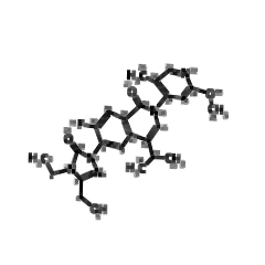 CCn1c(CO)nn(-c2cc3c(C(C)C)cn(-c4cc(OC)ncc4C)c(=O)c3cc2F)c1=O